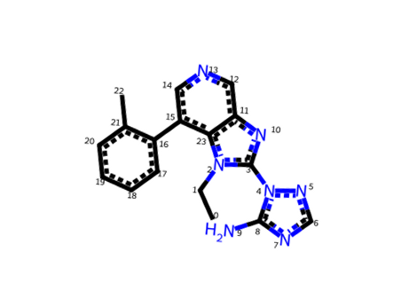 CCn1c(-n2ncnc2N)nc2cncc(-c3ccccc3C)c21